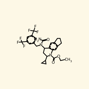 CCOC(=O)N1c2cc3c(cc2C(N(Cc2cc(C(F)(F)F)cc(C(F)(F)F)c2)C(N)=O)CC1C1CC1)CCC3